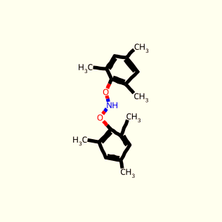 Cc1cc(C)c(ONOc2c(C)cc(C)cc2C)c(C)c1